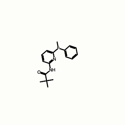 CP(c1ccccc1)c1cccc(NC(=O)C(C)(C)C)n1